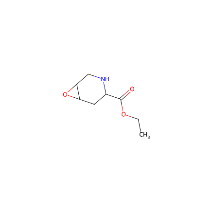 CCOC(=O)C1CC2OC2CN1